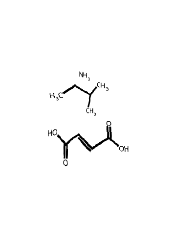 CCC(C)C.N.O=C(O)/C=C/C(=O)O